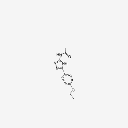 CCOc1ccc(-c2nnc(NC(C)=O)[nH]2)cc1